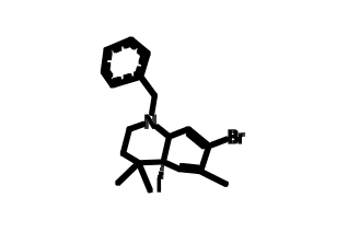 CC1=C[C@]2(I)C(C=C1Br)N(Cc1ccccc1)CCC2(C)C